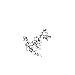 C=C1/C(=C\C=C2/CCC[C@]3(C)[C@@H]([C@H](C)CC[C@H](OC(=O)CCC)C4(c5nc(CCC)c[nH]5)CC4)CC[C@@H]23)C[C@@H](O)C[C@@H]1O